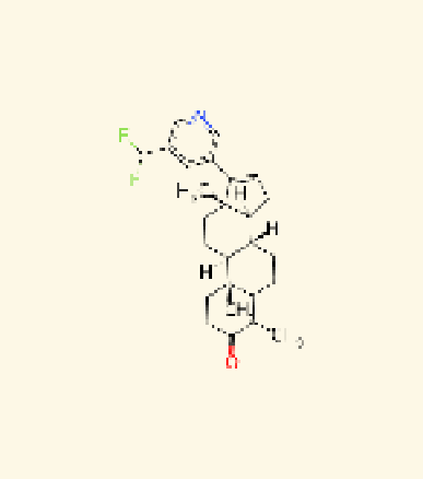 CC1C(=O)CC[C@@]2(C)C1CC[C@@H]1[C@@H]2CC[C@]2(C)C(c3cncc(C(F)F)c3)=CC[C@@H]12